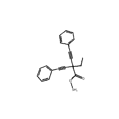 CCC(C#Cc1ccccc1)(C#Cc1ccccc1)C(=O)O[SiH3]